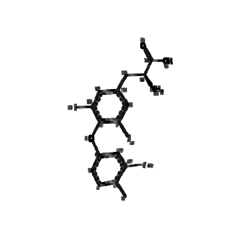 Cc1ccc(Oc2c(I)cc(C[C@H](N)C(=O)O)cc2I)cc1I